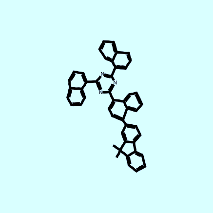 CC1(C)c2ccccc2-c2ccc(-c3ccc(-c4nc(-c5cccc6ccccc56)nc(-c5cccc6ccccc56)n4)c4ccccc34)cc21